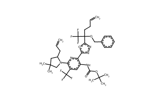 C=CCCC(OCc1ccccc1)(c1nnc(-c2nc(N3CC(C)(C)CC3CC=C)c(C(F)(F)F)cc2NC(=O)OC(C)(C)C)o1)C(F)(F)F